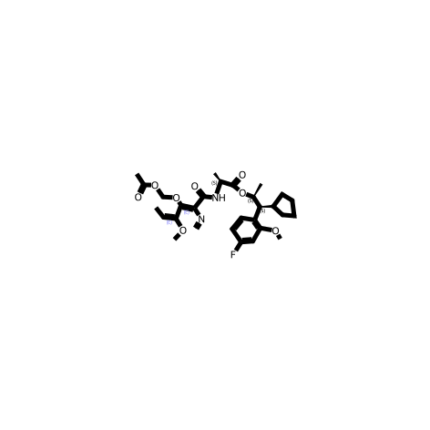 C=N/C(C(=O)N[C@@H](C)C(=O)O[C@@H](C)[C@H](c1ccc(F)cc1OC)C1CCCC1)=C(OCOC(C)=O)\C(=C/C)OC